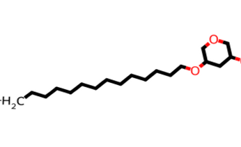 [CH2]CCCCCCCCCCCCCOC1COCC([O])C1